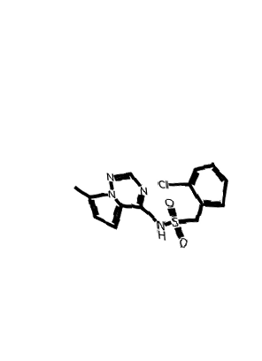 Cc1ccc2c(NS(=O)(=O)Cc3ccccc3Cl)ncnn12